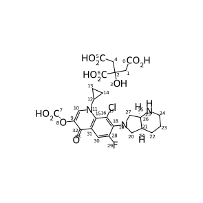 O=C(O)CC(O)(CC(=O)O)C(=O)O.O=C(O)Oc1cn(C2CC2)c2c(Cl)c(N3C[C@@H]4CCCN[C@@H]4C3)c(F)cc2c1=O